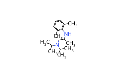 Cc1cccc(C)c1NC(C)CN(C(C)C)C(C)C